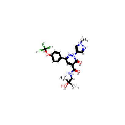 Cn1cc(-n2nc(-c3ccc(OC(F)(F)F)cc3)cc(C(=O)NCC(C)(C)O)c2=O)cn1